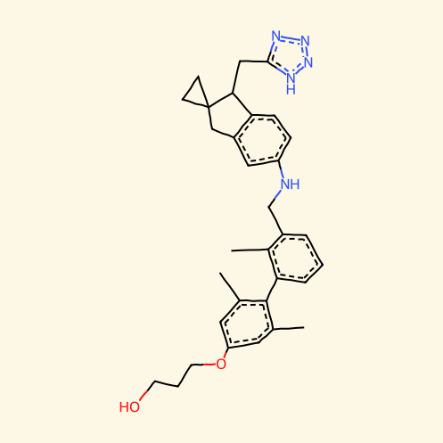 Cc1cc(OCCCO)cc(C)c1-c1cccc(CNc2ccc3c(c2)CC2(CC2)C3Cc2nnn[nH]2)c1C